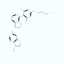 CCOC(=O)C[C@@H]1CSc2cc(O[C@H]3CCc4c(-c5c(C)cc(OCCCOC)cc5C)cccc43)ccc21